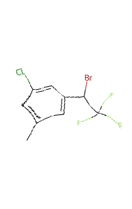 Cc1cc(Cl)cc(C(Br)C(F)(F)F)c1